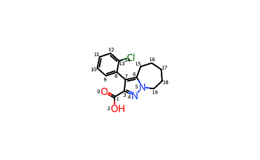 O=C(O)c1nn2c(c1-c1ccccc1Cl)CCCCC2